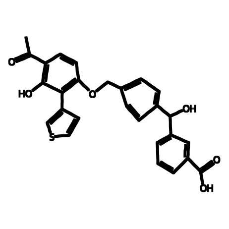 CC(=O)c1ccc(OCc2ccc(C(O)c3cccc(C(=O)O)c3)cc2)c(-c2ccsc2)c1O